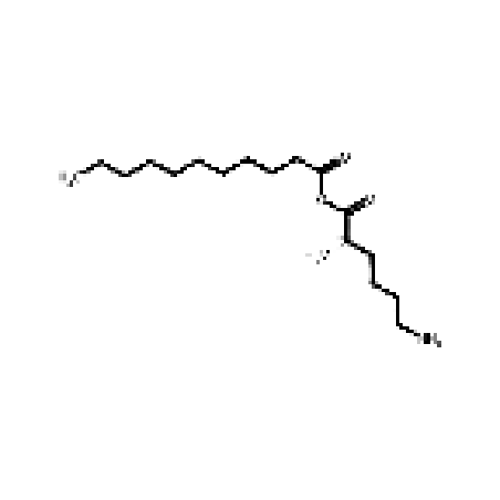 CCCCCCCCCCC(=O)OC(=O)[C@@H](N)CCCCN